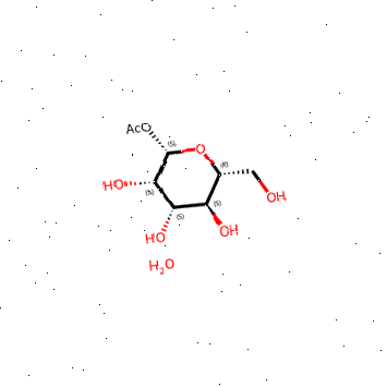 CC(=O)O[C@@H]1O[C@H](CO)[C@@H](O)[C@H](O)[C@@H]1O.O